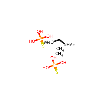 C.C.COCNC(C)=O.OP(O)(O)=S.OP(O)(O)=S